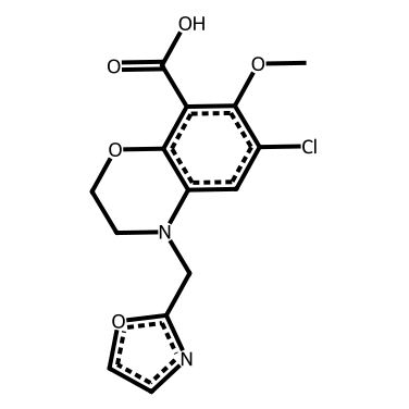 COc1c(Cl)cc2c(c1C(=O)O)OCCN2Cc1ncco1